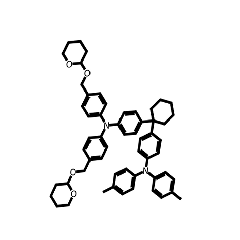 Cc1ccc(N(c2ccc(C)cc2)c2ccc(C3(c4ccc(N(c5ccc(COC6CCCCO6)cc5)c5ccc(COC6CCCCO6)cc5)cc4)CCCCC3)cc2)cc1